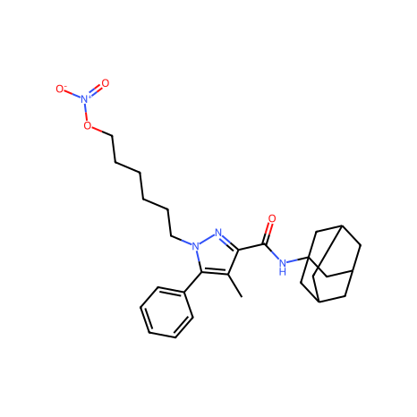 Cc1c(C(=O)NC23CC4CC(CC(C4)C2)C3)nn(CCCCCCO[N+](=O)[O-])c1-c1ccccc1